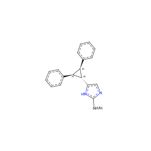 CC(=O)Nc1ncc([C@H]2[C@H](c3ccccc3)[C@@H]2c2ccccc2)[nH]1